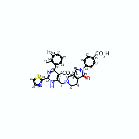 CCOC(=O)C1=C(CN2CCC3=C(C2)CN(c2ccc(C(=O)O)cc2)C3=O)NC(c2nccs2)=NC1c1cccc(F)c1C